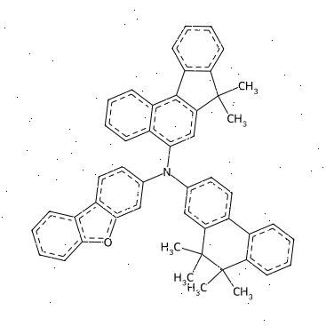 CC1(C)c2ccccc2-c2c1cc(N(c1ccc3c(c1)C(C)(C)C(C)(C)c1ccccc1-3)c1ccc3c(c1)oc1ccccc13)c1ccccc21